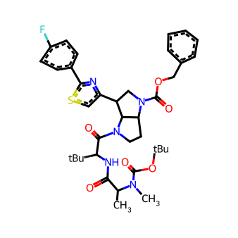 CC(C(=O)NC(C(=O)N1CCC2C1C(c1csc(-c3ccc(F)cc3)n1)CN2C(=O)OCc1ccccc1)C(C)(C)C)N(C)C(=O)OC(C)(C)C